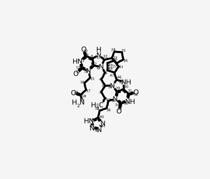 CCCC(CCN1c2c(c(=O)[nH]c(=O)n2CCCC(N)=O)NC1C1CCCC1)N1c2c(c(=O)[nH]c(=O)n2CCCc2nnn[nH]2)NC1C1CCCC1